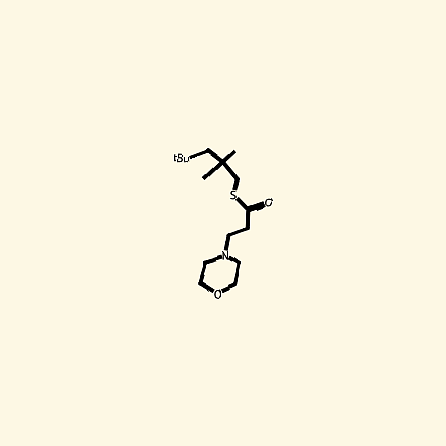 CC(C)(C)CC(C)(C)CSC(=O)CCN1CCOCC1